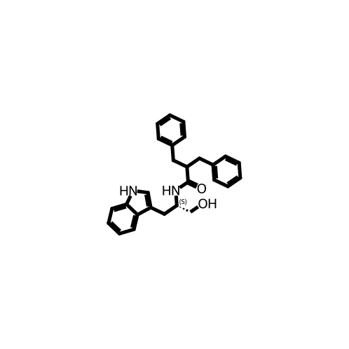 O=C(N[C@H](CO)Cc1c[nH]c2ccccc12)C(Cc1ccccc1)Cc1ccccc1